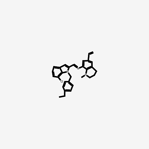 C=Cc1cc2c(c(/N=C/c3cc4cccc(Cl)c4n3Cc3ccc(CC)cc3)c1)N(C)CCC2